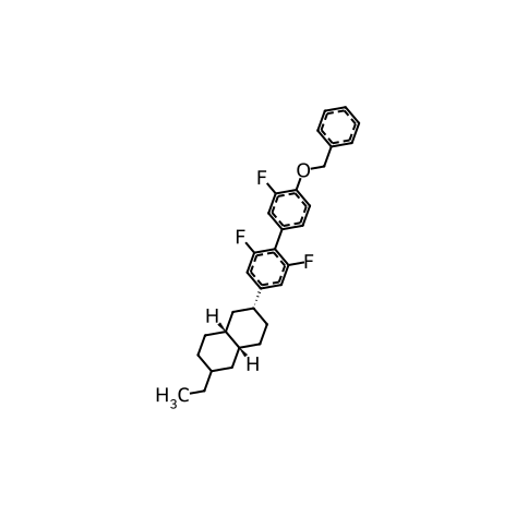 CCC1CC[C@@H]2C[C@H](c3cc(F)c(-c4ccc(OCc5ccccc5)c(F)c4)c(F)c3)CC[C@@H]2C1